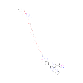 Cc1noc(C)c1-c1cnc2c(-c3ccc(C(=O)NCCOCCOCCOCCOCCOCCOCCOCCNC(=O)OC(C)(C)C)cc3)cn([C@@H](C)c3ccccn3)c2c1